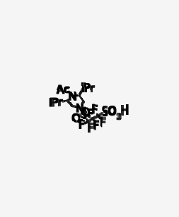 CC(=O)N1C(C(C)C)CN(S(=O)(=O)C(F)(F)C(F)(F)C(F)(F)S(=O)(=O)O)CC1C(C)C